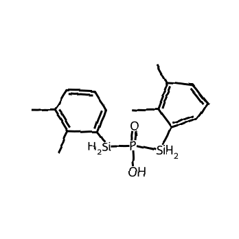 Cc1cccc([SiH2]P(=O)(O)[SiH2]c2cccc(C)c2C)c1C